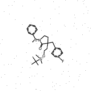 C[C@@H](c1ccccc1)N1CCC(CCO[Si](C)(C)C(C)(C)C)(Cc2ccc(F)cc2)C1=O